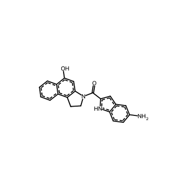 Nc1ccc2[nH]c(C(=O)N3CCc4c3cc(O)c3ccccc43)cc2c1